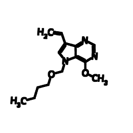 C=Cc1cn(COCCCC)c2c(OC)ncnc12